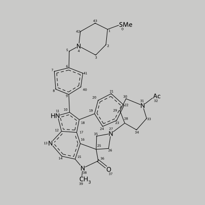 CSC1CCN(Cc2ccc(-c3[nH]c4ncc5c(c4c3-c3ccccc3)C3(CN(C4CCN(C(C)=O)CC4)C3)C(=O)N5C)cc2)CC1